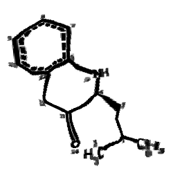 CC(C)C[C@@H]1Nc2ccccc2CC1=O